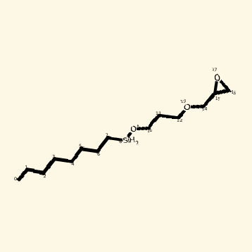 CCCCCCCC[SiH2]OCCCOCC1CO1